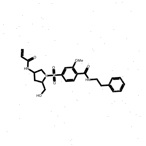 C=CC(=O)NC1CC(CO)N(S(=O)(=O)c2ccc(C(=O)NCCc3ccccc3)c(OC)c2)C1